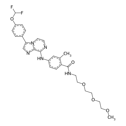 COCCOCCOCCNC(=O)c1ccc(Nc2nccn3c(-c4ccc(OC(F)F)cc4)cnc23)cc1C